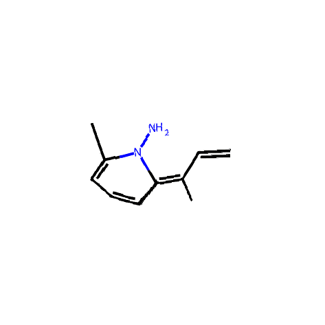 C=C/C(C)=C1/C=CC=C(C)N1N